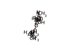 Cc1ncsc1-c1ccc(CNC(=O)[C@@H]2C[C@@H](O)CN2C(=O)[C@H](C(C)C)n2cc(Oc3cccc(OCCCCCOc4ccc(N5C(=S)N(c6ccc(C#N)c(C(F)(F)F)c6)C(=O)C5(C)C)cc4)c3)cn2)cc1